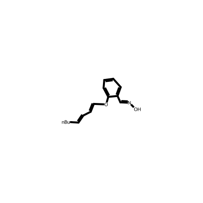 CCCCC=CC=COc1ccccc1C=NO